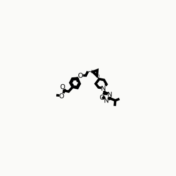 COC(=O)Cc1ccc(OCC[C@@H]2C[C@@H]2C2CCN(c3nc(C(C)C)no3)CC2)cc1